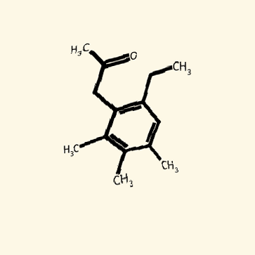 CCc1cc(C)c(C)c(C)c1CC(C)=O